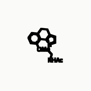 COc1cccc2c1-c1c(ccn1CCNC(C)=O)CC2